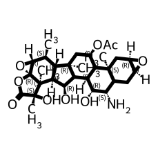 CC(=O)O[C@@H]1C[C@@]2(C)C([C@H]3C1[C@@]1(C)C[C@H]4O[C@H]4CC1[C@H](N)[C@@H]3O)[C@@H](O)[C@@H]1[C@@H]2[C@H](C)[C@H]2O[C@]23OC(=O)[C@@](C)(O)[C@]13C